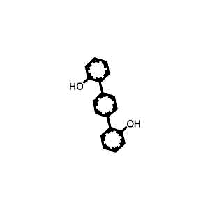 Oc1ccccc1-c1ccc(-c2ccccc2O)cc1